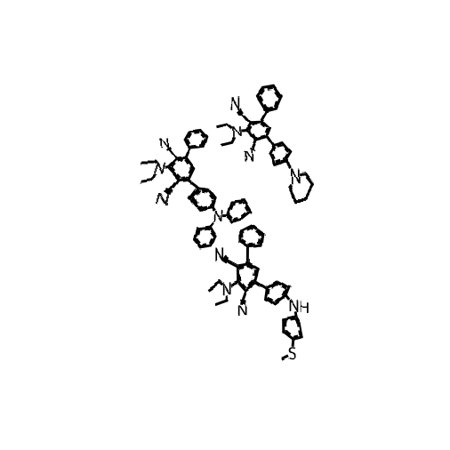 CCN(CC)c1c(C#N)c(-c2ccccc2)cc(-c2ccc(N(c3ccccc3)c3ccccc3)cc2)c1C#N.CCN(CC)c1c(C#N)c(-c2ccccc2)cc(-c2ccc(N3CCCCC3)cc2)c1C#N.CCN(CC)c1c(C#N)c(-c2ccccc2)cc(-c2ccc(Nc3ccc(SC)cc3)cc2)c1C#N